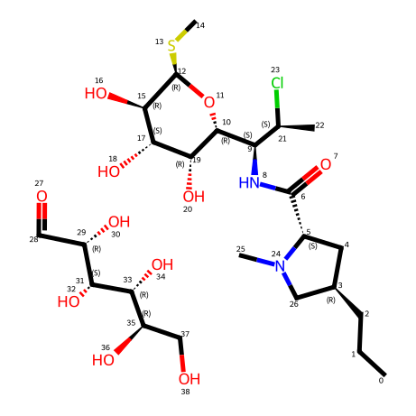 CCC[C@@H]1C[C@@H](C(=O)N[C@@H]([C@H]2O[C@H](SC)[C@H](O)[C@@H](O)[C@H]2O)[C@H](C)Cl)N(C)C1.O=C[C@H](O)[C@@H](O)[C@H](O)[C@H](O)CO